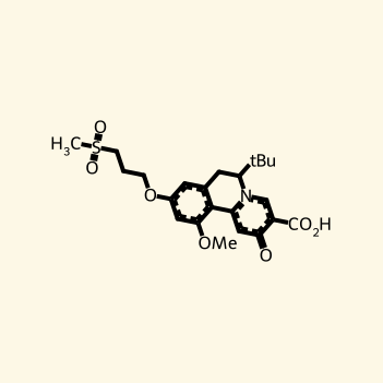 COc1cc(OCCCS(C)(=O)=O)cc2c1-c1cc(=O)c(C(=O)O)cn1C(C(C)(C)C)C2